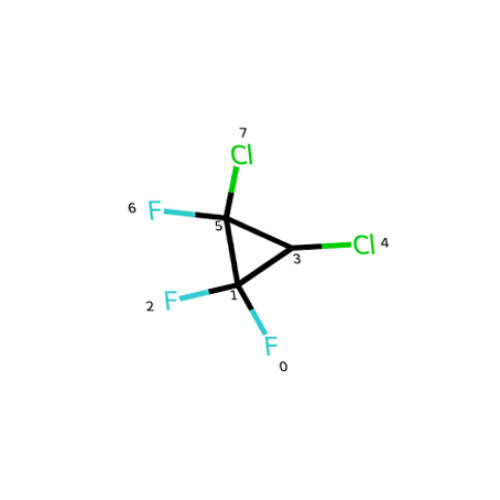 FC1(F)C(Cl)C1(F)Cl